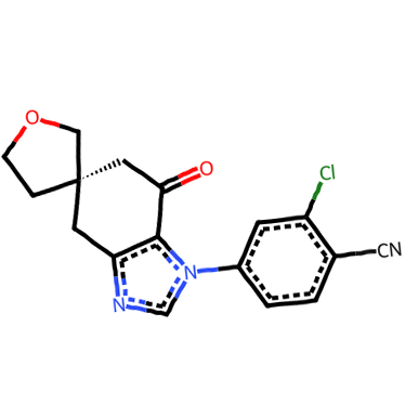 N#Cc1ccc(-n2cnc3c2C(=O)C[C@@]2(CCOC2)C3)cc1Cl